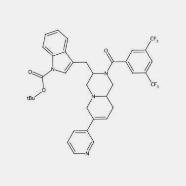 CC(C)(C)OC(=O)n1cc(CC2CN3CC(c4cccnc4)=CCC3CN2C(=O)c2cc(C(F)(F)F)cc(C(F)(F)F)c2)c2ccccc21